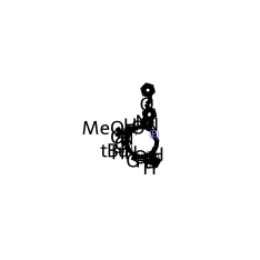 COC(=O)[C@@H]1C[C@@H]2CN1C(=O)[C@H](C(C)(C)C)NC(=O)O[C@@H]1C[C@@H]3CC[C@@H]3[C@H]1CCC/C=C/c1nc3ccc(OCc4ccccc4)cc3nc1O2